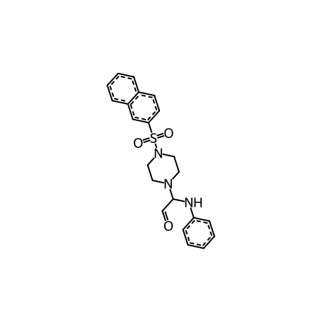 O=CC(Nc1ccccc1)N1CCN(S(=O)(=O)c2ccc3ccccc3c2)CC1